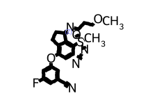 COCCC/N=C1/CCc2c(Oc3cc(F)cc(C#N)c3)ccc(S(C)(=O)=NC#N)c21